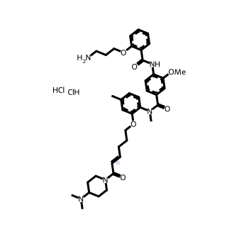 COc1cc(C(=O)N(C)c2ccc(C)cc2OCCC/C=C/C(=O)N2CCC(N(C)C)CC2)ccc1NC(=O)c1ccccc1OCCCN.Cl.Cl